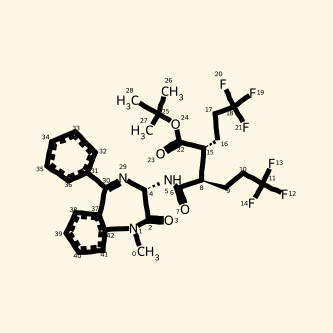 CN1C(=O)[C@@H](NC(=O)[C@H](CCC(F)(F)F)[C@@H](CCC(F)(F)F)C(=O)OC(C)(C)C)N=C(c2ccccc2)c2ccccc21